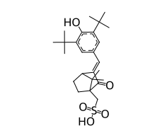 CC(C)(C)c1cc(C=C2C(=O)C3(CS(=O)(=O)O)CCC2C3(C)C)cc(C(C)(C)C)c1O